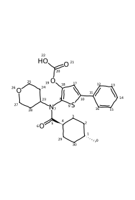 C[C@H]1CC[C@H](C(=O)N(c2sc(-c3ccccc3)cc2OC(=O)O)C2CCOCC2)CC1